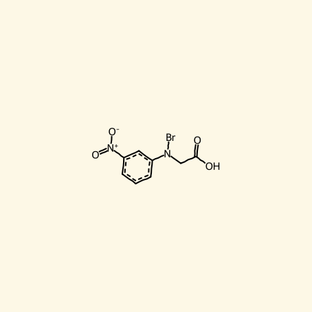 O=C(O)CN(Br)c1cccc([N+](=O)[O-])c1